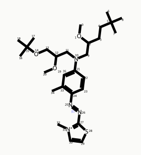 COC(CCC(C)(C)C)CN(CC(COC(C)(C)C)OC)c1ccc(/N=N/c2scc[n+]2C)c(C)c1